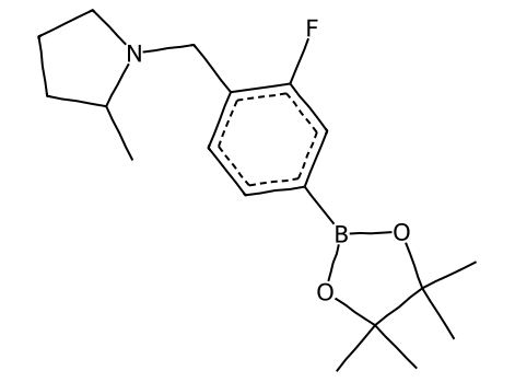 CC1CCCN1Cc1ccc(B2OC(C)(C)C(C)(C)O2)cc1F